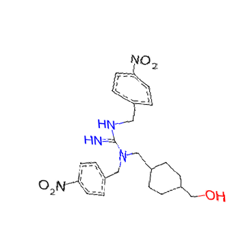 N=C(NCc1ccc([N+](=O)[O-])cc1)N(Cc1ccc([N+](=O)[O-])cc1)CC1CCC(CO)CC1